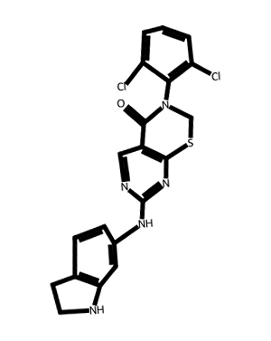 O=C1c2cnc(Nc3ccc4c(c3)NCC4)nc2SCN1c1c(Cl)cccc1Cl